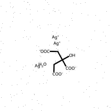 O.O=C([O-])CC(O)(CC(=O)[O-])C(=O)[O-].[Ag+].[Ag+].[Ag+]